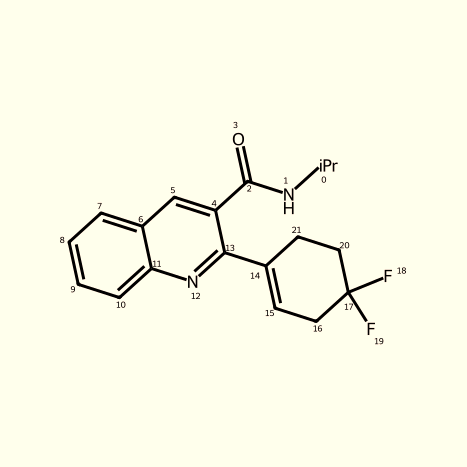 CC(C)NC(=O)c1cc2ccccc2nc1C1=CCC(F)(F)CC1